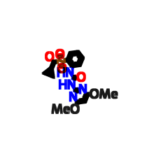 COc1cc(OC)nc(NC(=O)Nc2ccccc2S(=O)(=O)C(=O)C2CC2)n1